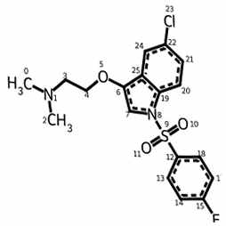 CN(C)CCOc1cn(S(=O)(=O)c2ccc(F)cc2)c2ccc(Cl)cc12